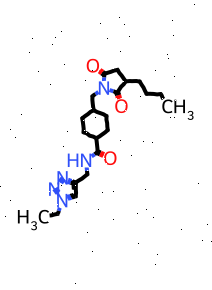 CCCCC1CC(=O)N(CC2CCC(C(=O)NCc3cn(CC)nn3)CC2)C1=O